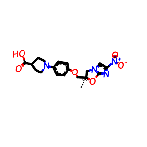 C[C@]1(COc2ccc(N3CCC(C(=O)O)CC3)cc2)Cn2cc([N+](=O)[O-])nc2O1